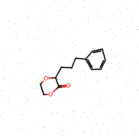 O=C1OCCOC1CCCc1ccccc1